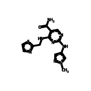 Cn1cc(Nc2ncc(C(N)=O)c(NCc3nccs3)n2)cn1